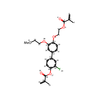 C=C(C)C(=O)OCCOc1ccc(-c2ccc(OC(=O)C(=C)C)c(F)c2)cc1OCCOC